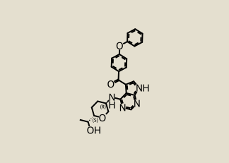 CC(O)[C@@H]1CC[C@@H](Nc2ncnc3[nH]cc(C(=O)c4ccc(Oc5ccccc5)cc4)c23)CO1